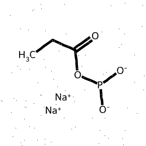 CCC(=O)OP([O-])[O-].[Na+].[Na+]